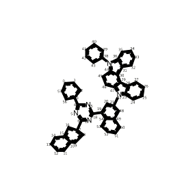 c1ccc(-c2nc(-c3ccc4ccccc4c3)nc(-c3cc(-n4c5ccccc5c5c6c7ccccc7n(-c7ccccc7)c6ccc54)cc4ccccc34)n2)cc1